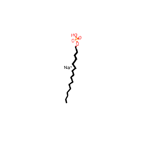 CCCCCCCCCCCCCCCCOP(=O)([O-])O.[Na+]